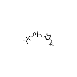 CC(C)C(C)(C)CCOC(C)(C)CCn1cc(CN(C)C)nn1